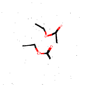 CCOC(C)=O.CCOC(C)=O